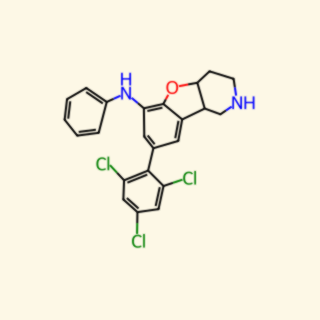 Clc1cc(Cl)c(-c2cc(Nc3ccccc3)c3c(c2)C2CNCCC2O3)c(Cl)c1